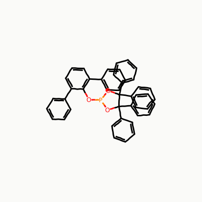 c1ccc(-c2cccc(-c3ccccc3)c2OP2OC(c3ccccc3)(c3ccccc3)C(c3ccccc3)(c3ccccc3)O2)cc1